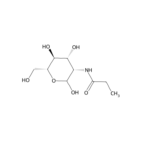 CCC(=O)N[C@@H]1C(O)O[C@H](CO)[C@@H](O)[C@@H]1O